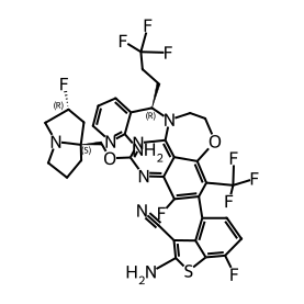 N#Cc1c(N)sc2c(F)ccc(-c3c(C(F)(F)F)c4c5c(nc(OC[C@@]67CCCN6C[C@H](F)C7)nc5c3F)N([C@H](CCC(F)(F)F)c3cccnc3N)CCO4)c12